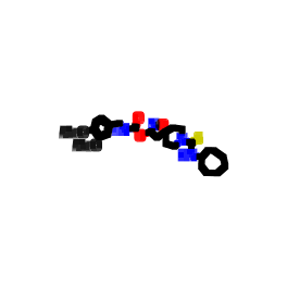 COc1ccc(CNC(=O)OC2=NOC3(CCN(C(=S)NC4CCCCCCC4)CC3)C2)cc1OC